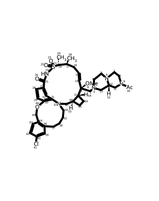 CO[C@]1(CN2CCN3CCN(C(C)=O)C[C@@H]3C2)/C=C/C[C@H](C)[C@@H](C)S(=O)(=O)NC(=O)c2ccc3c(c2)N(CCCCc2cc(Cl)ccc2CO3)C[C@@H]2CC[C@H]21